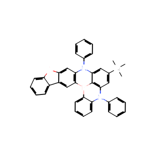 C[Si](C)(C)c1cc2c3c(c1)N(c1ccccc1)c1cc4oc5ccccc5c4cc1B3c1ccccc1N2c1ccccc1